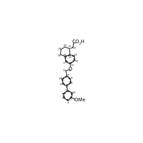 COc1cccc(-c2ccc(COc3ccc4c(c3)CCC[C@H]4CC(=O)O)cc2)c1